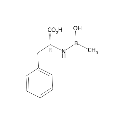 CB(O)N[C@H](Cc1ccccc1)C(=O)O